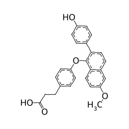 COc1ccc2c(Oc3ccc(CCC(=O)O)cc3)c(-c3ccc(O)cc3)ccc2c1